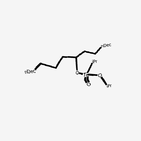 CCCCCCCCCCCCCC(CCCCCCCCCCCC)[O][Ti](=[O])([O]C(C)C)[CH](C)C